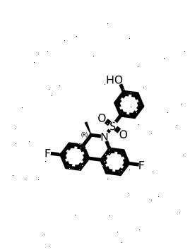 C[C@@H]1c2cc(F)ccc2-c2ccc(F)cc2N1S(=O)(=O)c1cccc(O)c1